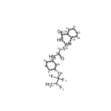 CC(F)C(F)(F)Oc1cccc(NC(=O)CSc2nc3ccccc3c(=O)[nH]2)c1